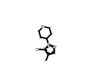 Cc1cnn(C2CCOCC2)c1Cl